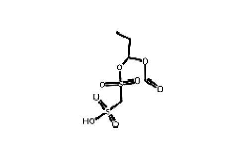 CCC(OC=O)OS(=O)(=O)CS(=O)(=O)O